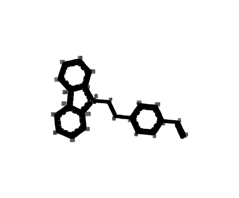 C=Cc1ccc(CCn2c3ccccc3c3ccccc32)cc1